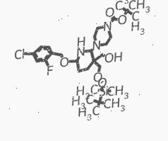 CC(C)(C)OC(=O)N1CCN(C2NC(OCc3ccc(Cl)cc3F)CCC2(CO)COO[Si](C)(C)C(C)(C)C)CC1